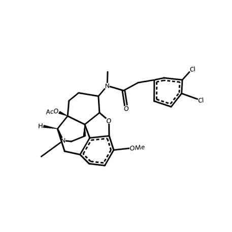 COc1ccc2c3c1OC1C(N(C)C(=O)Cc4ccc(Cl)c(Cl)c4)CC[C@@]4(OC(C)=O)[C@@H](C2)N(C)CC[C@]314